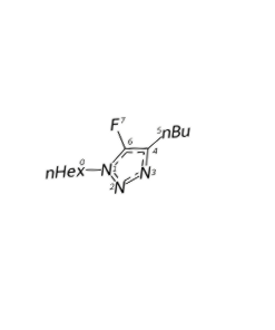 CCCCCCn1nnc(CCCC)c1F